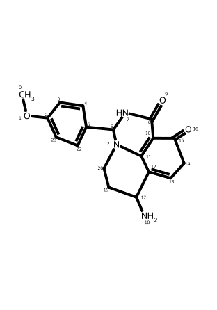 COc1ccc(C2NC(=O)C3=C4C(=CCC3=O)C(N)CCN42)cc1